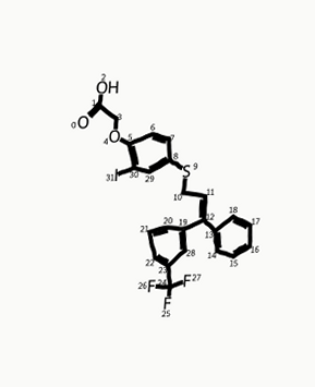 O=C(O)COc1ccc(SC/C=C(/c2ccccc2)c2cccc(C(F)(F)F)c2)cc1I